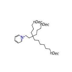 CCCCCCCCCCCCCCCCC(CCCCCCCCCCCCC)(CCCCCCCCCCCCC)CC[n+]1ccccc1